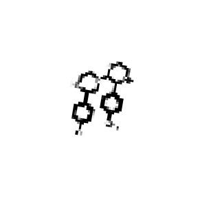 Cc1ccc(C2NCC[N]C2N2CCNC(c3ccc(O)cc3)C2)cc1